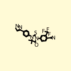 CC1(C)C(=O)N(c2ccc(C#N)c(C(F)(F)F)c2)C(=S)N1c1ccc(C2=CCN=N2)cc1